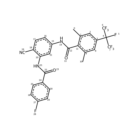 Cc1cc(C(F)(C(F)(F)F)C(F)(F)F)cc(C)c1C(=O)Nc1ccc(C#N)c(NC(=O)c2ccc(F)cc2)c1